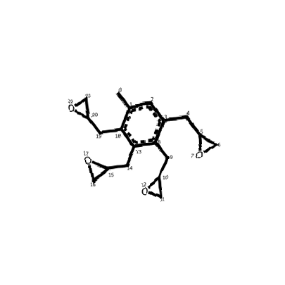 Cc1cc(CC2CO2)c(CC2CO2)c(CC2CO2)c1CC1CO1